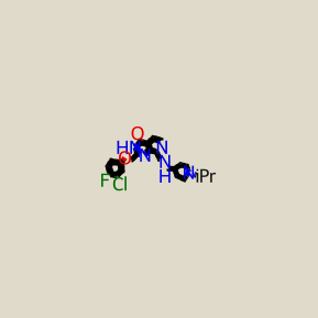 CC(C)N1CCC(CNCc2nccc3c(=O)[nH]c(COc4ccc(F)c(Cl)c4)nc23)CC1